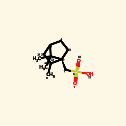 CC1CC2CC[C@@]1(CS(=O)(=O)O)C2(C)C